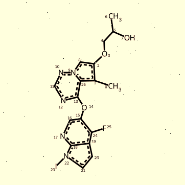 Cc1c(OCC(C)O)cn2ncnc(Oc3cnc4c(ccn4I)c3F)c12